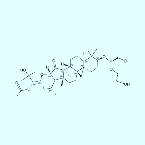 CC(=O)O[C@@H]([C@H]1C[C@@H](C)C2[C@H](O1)C(=O)[C@@]1(C)[C@@H]3CC[C@H]4C(C)(C)[C@@H](O[C@@H](CO)OCCO)CC[C@@]45C[C@@]35CC[C@]21C)C(C)(C)O